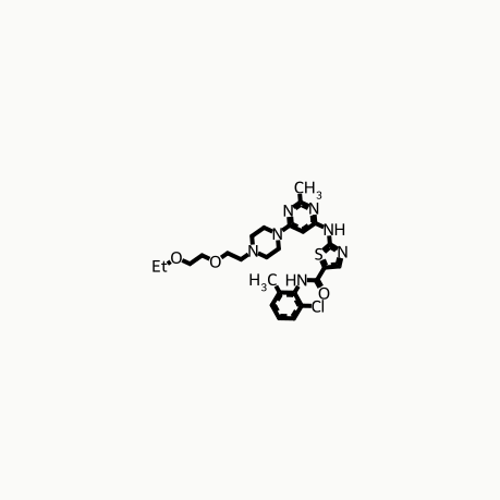 CCOCCOCCN1CCN(c2cc(Nc3ncc(C(=O)Nc4c(C)cccc4Cl)s3)nc(C)n2)CC1